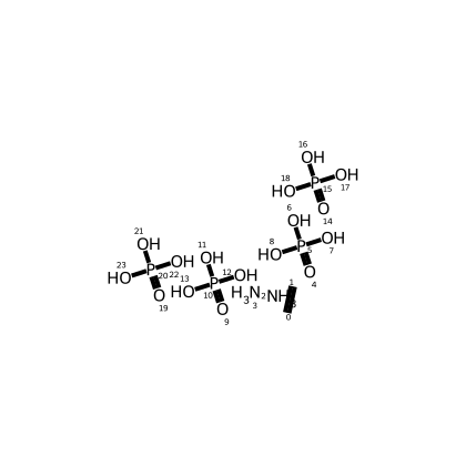 C=C.N.N.O=P(O)(O)O.O=P(O)(O)O.O=P(O)(O)O.O=P(O)(O)O